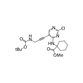 COC(=O)C1(Nc2nc(Cl)ncc2C#CCNC(=O)OC(C)(C)C)CCCCC1